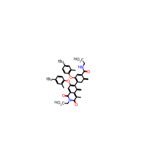 C=C1CC(c2c(Oc3ccc(C(C)(C)C)cc3C)cc3c(c2=C)=C(C)C(=O)N(CC(=O)O)C3=O)=C(Oc2ccc(C(C)(C)C)cc2C)C=C1C(=O)NCC(=O)O